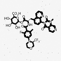 Cc1cc(N2CCOC[C@@H]2C(F)(F)F)cc(F)c1C(=O)N[C@@H](Cc1ccc(-n2c(=O)c3ccncc3n(C)c2=O)c2ncccc12)C(=O)O[C@@H]1O[C@H](C(=O)O)[C@@H](O)[C@H](O)[C@H]1O